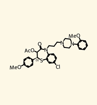 COc1ccc([C@@H]2Sc3cc(Cl)ccc3N(CCCN3CCN(c4ccccc4OC)CC3)C(=O)C2OC(C)=O)cc1